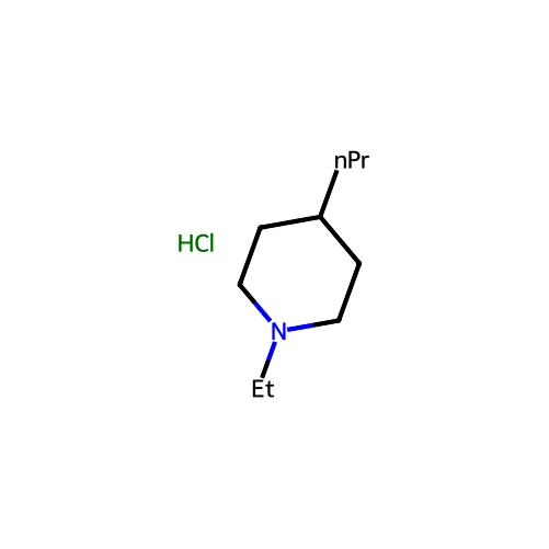 CCCC1CCN(CC)CC1.Cl